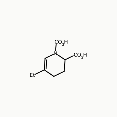 CCC1=CN(C(=O)O)C(C(=O)O)CC1